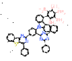 Bc1c(B)c(B)c(-c2cccc3c2c2ccccc2n3-c2ccc(-c3nc(-c4ccccc4)c4sc5ccccc5c4n3)cc2-c2nc(-c3ccccc3)nc(-c3ccccc3)n2)c(B)c1B